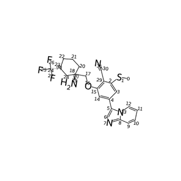 CSc1cc(-c2cnc3ccccn23)cc(OC[C@@]2(N)CCC[C@@H](C(F)(F)F)C2)c1C#N